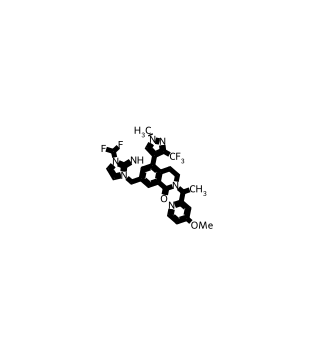 COc1ccnc(C(C)N2CCc3c(cc(Cn4ccn(C(F)F)c4=N)cc3-c3cn(C)nc3C(F)(F)F)C2=O)c1